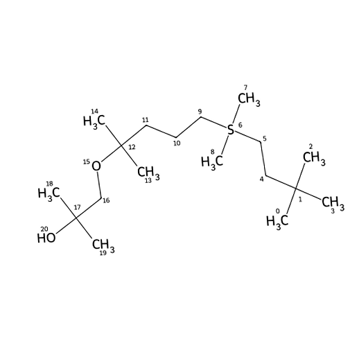 CC(C)(C)CCS(C)(C)CCCC(C)(C)OCC(C)(C)O